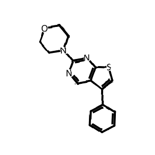 [c]1nc(N2CCOCC2)nc2scc(-c3ccccc3)c12